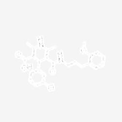 COc1ccccc1CC=CNC(=O)C1=C(C)NC(C)=C(C(=O)O)C1c1cccc(Cl)c1